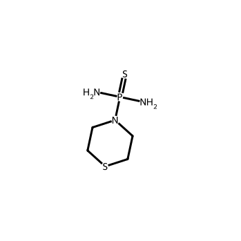 NP(N)(=S)N1CCSCC1